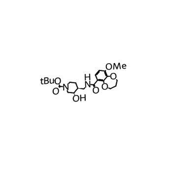 COc1ccc(C(=O)NC[C@@H]2CCN(C(=O)OC(C)(C)C)C[C@H]2O)c2c1OCCCO2